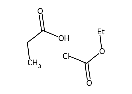 CCC(=O)O.CCOC(=O)Cl